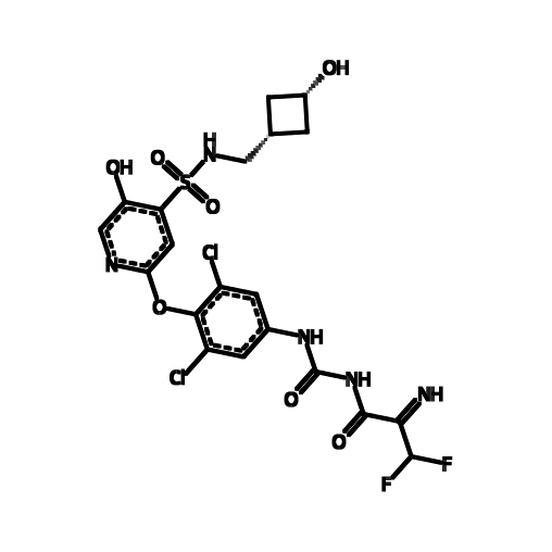 N=C(C(=O)NC(=O)Nc1cc(Cl)c(Oc2cc(S(=O)(=O)NC[C@H]3C[C@@H](O)C3)c(O)cn2)c(Cl)c1)C(F)F